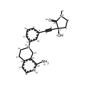 CN1CC[C@](O)(C#Cc2cccc(N3CCc4ccnc(N)c4C3)c2)C1=O